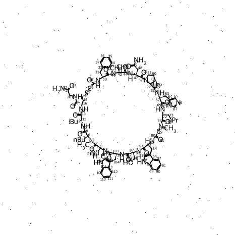 CCCC[C@H]1C(=O)N(C)[C@@H](CCCC)C(=O)N[C@@H]([C@@H](C)CC)C(=O)N[C@H](C(=O)NCC(N)=O)CSCC(=O)N[C@@H](Cc2ccccc2)C(=O)N(C)[C@@H](C)C(=O)N[C@@H](CC(N)=O)C(=O)N2CCC[C@H]2C(=O)N[C@@H](Cc2cnc[nH]2)C(=O)N[C@@H](CC(C)C)C(=O)N(C)CC(=O)N[C@@H](Cc2c[nH]c3ccccc23)C(=O)N[C@@H](CO)C(=O)N[C@@H](Cc2c[nH]c3ccccc23)C(=O)N1C